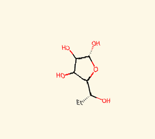 CC[C@@H](O)C1O[C@@H](O)C(O)C1O